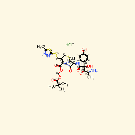 Cc1nnc(SCC2=C(C(=O)OCOC(=O)C(C)(C)C)N3C(=O)C(NC(=O)C(O)(C(=O)[C@H](C)N)c4ccc(O)cc4)[C@@H]3SC2)s1.Cl